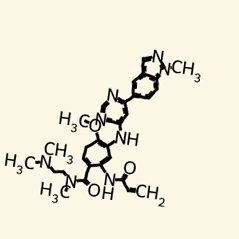 C=CC(=O)NC1=CC(Nc2cc(-c3ccc4c(cnn4C)c3)ncn2)=C(OC)CC=C1C(=O)N(C)CCN(C)C